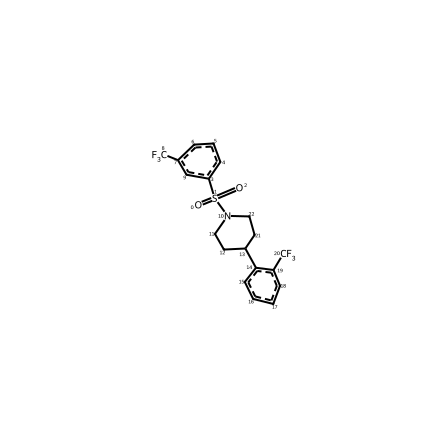 O=S(=O)(c1cccc(C(F)(F)F)c1)N1CCC(c2ccccc2C(F)(F)F)CC1